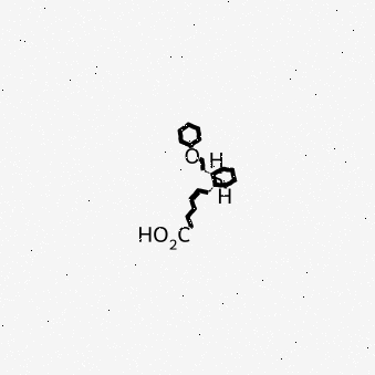 O=C(O)CCC/C=C\C[C@@H]1[C@H](CCOC2CCCCC2)[C@@H]2CC[C@H]1S2